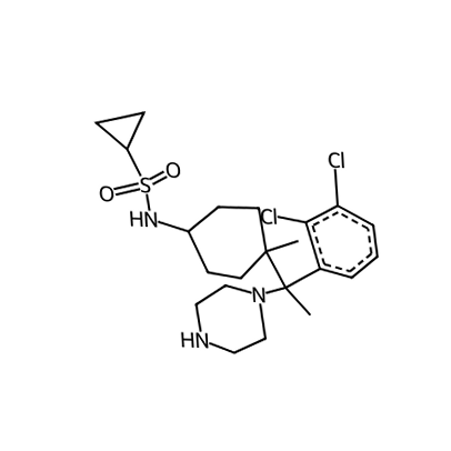 CC1(C(C)(c2cccc(Cl)c2Cl)N2CCNCC2)CCC(NS(=O)(=O)C2CC2)CC1